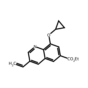 C=Cc1cnc2c(OC3CC3)cc(C(=O)OCC)cc2c1